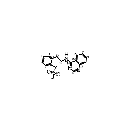 CS(=O)(=O)Cc1ccccc1CCNc1ncnc2ccccc12